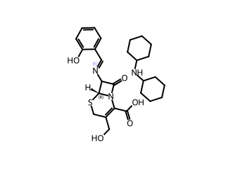 C1CCC(NC2CCCCC2)CC1.O=C(O)C1=C(CO)CS[C@@H]2C(/N=C/c3ccccc3O)C(=O)N12